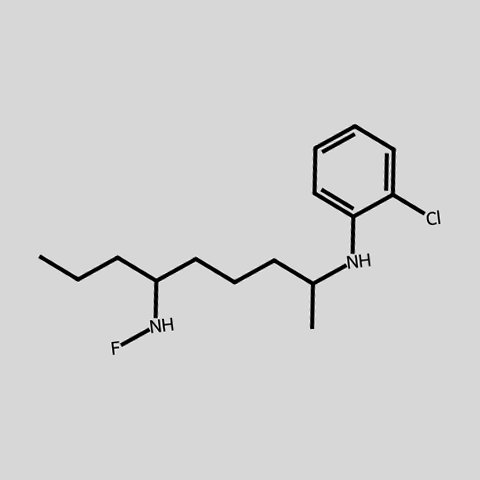 CCCC(CCCC(C)Nc1ccccc1Cl)NF